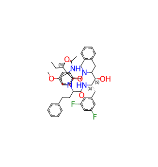 CC[C@@H](C)C1(NC(C)=O)CCN(C(CCc2ccccc2)C(=O)N[C@@H](Cc2cc(F)cc(F)c2)[C@H](O)C2Cc3ccccc3CN2Cc2ccc(OC)cc2)C1=O